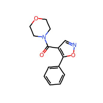 O=C(c1cnoc1-c1ccccc1)N1CCOCC1